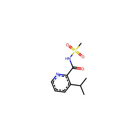 CC(C)c1cccnc1C(=O)NS(C)(=O)=O